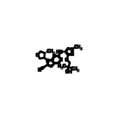 C[C@H]1COC[C@@H]1n1c(C#N)cc2cnc(Nc3cn(C)nc3OCC(C)(C)O)nc21